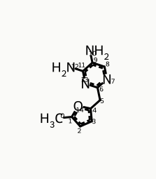 Cc1ccc(Cc2ncc(N)c(N)n2)o1